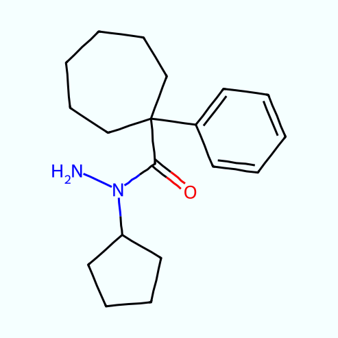 NN(C(=O)C1(c2ccccc2)CCCCCC1)C1CCCC1